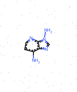 Nc1ccnc2c1ncn2N